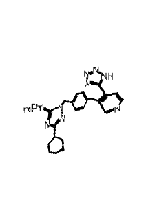 CCCc1nc(C2CCCCC2)nn1Cc1ccc(-c2cnccc2-c2nnn[nH]2)cc1